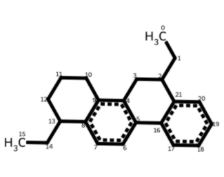 CCC1Cc2c(ccc3c2CCCC3CC)-c2ccccc21